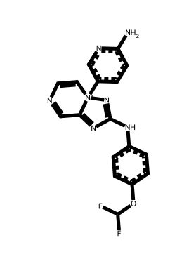 Nc1ccc([N+]23C=CN=CC2=NC(Nc2ccc(OC(F)F)cc2)=N3)cn1